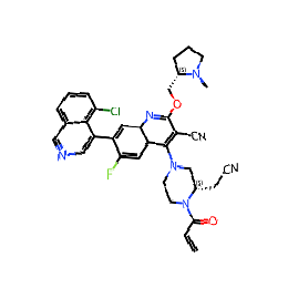 C=CC(=O)N1CCN(C2=C(C#N)C(OC[C@@H]3CCCN3C)=NC3C=C(c4cncc5cccc(Cl)c45)C(F)=CC23)C[C@@H]1CC#N